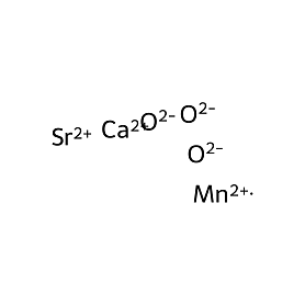 [Ca+2].[Mn+2].[O-2].[O-2].[O-2].[Sr+2]